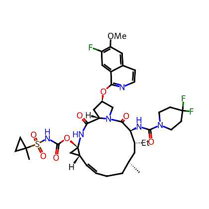 CC[C@@H]1C[C@H](C)CC/C=C\[C@@H]2C[C@]2(OC(=O)NS(=O)(=O)C2(C)CC2)NC(=O)[C@@H]2C[C@@H](Oc3nccc4cc(OC)c(F)cc34)CN2C(=O)[C@H]1NC(=O)N1CCC(F)(F)CC1